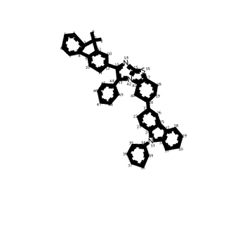 CC1(C)c2ccccc2-c2ccc(-c3nc4sc5ccc(-c6ccc7c(c6)c6ccccc6n7-c6ccccc6)cc5n4c3-c3ccccc3)cc21